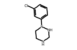 Clc1cccc(N2CCNCN2)c1